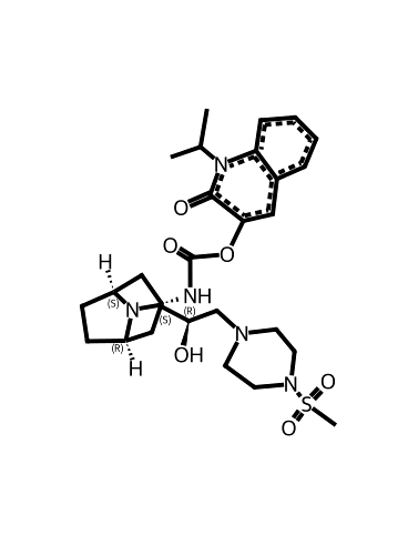 CC(C)n1c(=O)c(OC(=O)N[C@@H]2C[C@H]3CC[C@@H](C2)N3C[C@H](O)CN2CCN(S(C)(=O)=O)CC2)cc2ccccc21